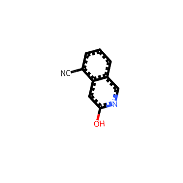 N#Cc1cccc2cnc(O)cc12